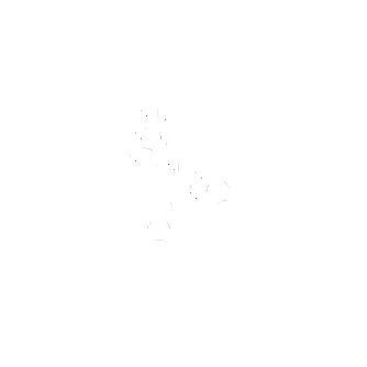 CCn1c(CNC(=O)c2nc(Cl)c(N)nc2N)[n+](CC(=O)c2ccc(OC)c(OC)c2)c2ccc(OC)cc21